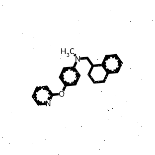 CN(CC1CCCc2ccccc21)c1ccc(Oc2ccccn2)cc1